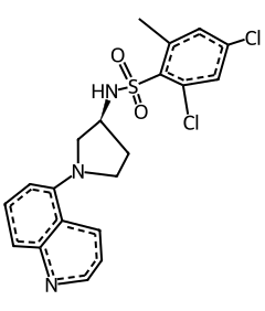 Cc1cc(Cl)cc(Cl)c1S(=O)(=O)N[C@H]1CCN(c2cccc3ncccc23)C1